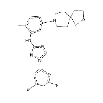 Cc1ccc(N2CCC3(CCOC3)CC2)cc1Nc1ncn(-c2cc(F)cc(F)c2)n1